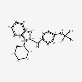 FC(F)(F)Oc1ccc(Nc2nc3ccccc3n2C2CCCCC2)cc1